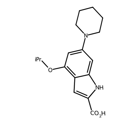 CC(C)Oc1cc(N2CCCCC2)cc2[nH]c(C(=O)O)cc12